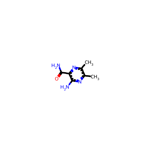 Cc1nc(N)c(C(N)=O)nc1C